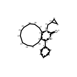 O=c1nc(-c2ccccc2)c2c(n1CC1CC1)CCCCCCCCCC2